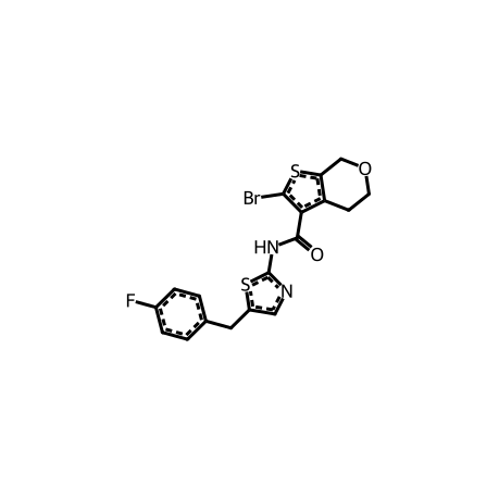 O=C(Nc1ncc(Cc2ccc(F)cc2)s1)c1c(Br)sc2c1CCOC2